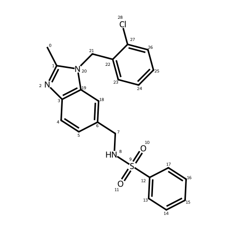 Cc1nc2ccc(CNS(=O)(=O)c3ccccc3)cc2n1Cc1ccccc1Cl